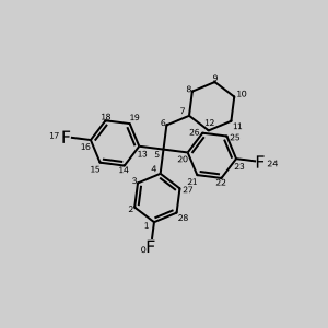 Fc1ccc(C(CC2CCCCC2)(c2ccc(F)cc2)c2ccc(F)cc2)cc1